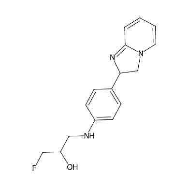 OC(CF)CNc1ccc(C2CN3C=CC=CC3=N2)cc1